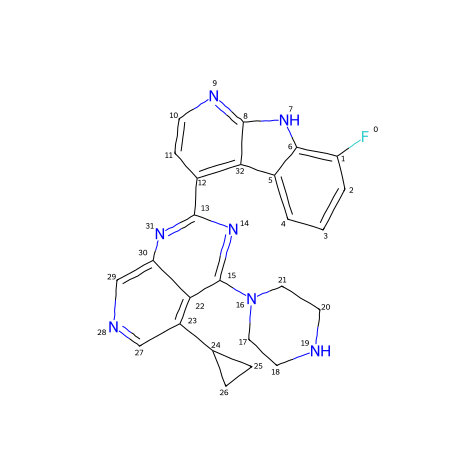 Fc1cccc2c1[nH]c1nccc(-c3nc(N4CCNCC4)c4c(C5CC5)cncc4n3)c12